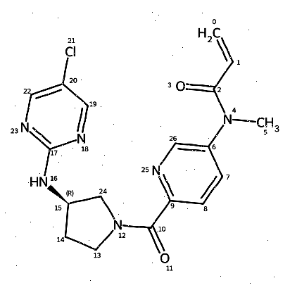 C=CC(=O)N(C)c1ccc(C(=O)N2CC[C@@H](Nc3ncc(Cl)cn3)C2)nc1